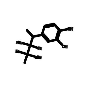 CCCCC(C)(CC)C(CC)(CCCC)C(C)c1ccc(O)c(O)c1